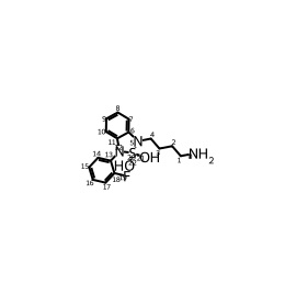 NCCCCN1c2ccccc2N(c2ccccc2F)S1(O)O